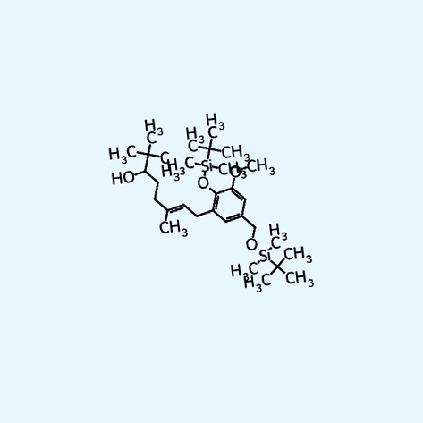 COc1cc(CO[Si](C)(C)C(C)(C)C)cc(C/C=C(\C)CCC(O)C(C)(C)C)c1O[Si](C)(C)C(C)(C)C